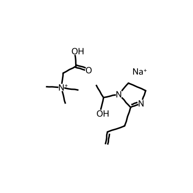 C=CCC1=NCCN1C(C)O.C[N+](C)(C)CC(=O)O.[Na+]